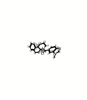 Cn1cnc2ccc(C(=O)N3CCC[C@H]4c5ccccc5CC[C@H]43)cc21